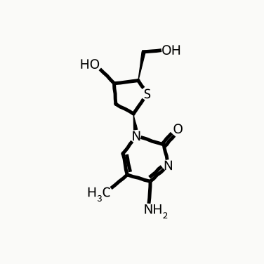 Cc1cn([C@H]2CC(O)[C@@H](CO)S2)c(=O)nc1N